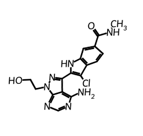 CNC(=O)c1ccc2c(Cl)c(-c3nn(CCO)c4ncnc(N)c34)[nH]c2c1